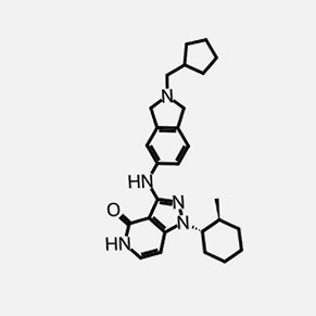 C[C@H]1CCCC[C@@H]1n1nc(Nc2ccc3c(c2)CN(CC2CCCC2)C3)c2c(=O)[nH]ccc21